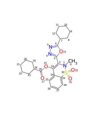 CN1C(c2nnc(C3CCCCC3)o2)=C(OC(=O)C2CCCCC2)c2ccccc2S1(=O)=O